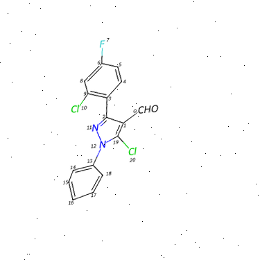 O=Cc1c(-c2ccc(F)cc2Cl)nn(-c2ccccc2)c1Cl